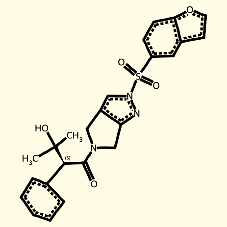 CC(C)(O)[C@@H](C(=O)N1Cc2cn(S(=O)(=O)c3ccc4occc4c3)nc2C1)c1ccccc1